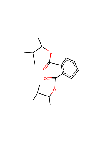 CC(C)C(C)OC(=O)c1ccccc1C(=O)OC(C)C(C)C